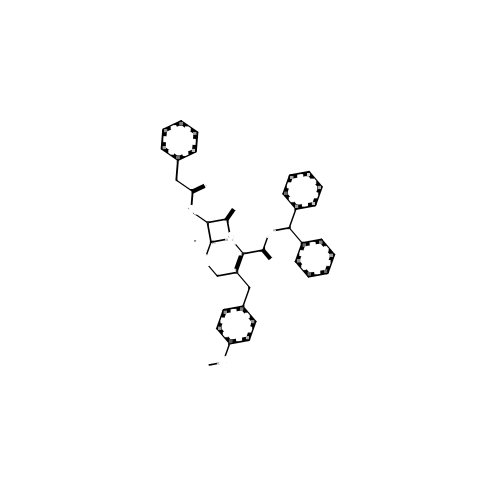 COc1ccc(CC2=C(C(=O)OC(c3ccccc3)c3ccccc3)N3C(=O)C(NC(=O)Cc4ccccc4)[C@@H]3SC2)cc1